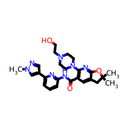 Cn1cc(-c2cccc(NC(=O)c3cc4c(nc3N3CCN(CCO)CC3)OC(C)(C)C4)n2)cn1